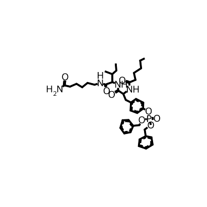 CCCCCC(=O)NC(Cc1ccc(OP(=O)(OCc2ccccc2)OCc2ccccc2)cc1)C(=O)NC(C(=O)NCCCCCC(N)=O)C(C)CC